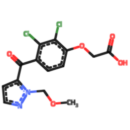 COCn1nccc1C(=O)c1ccc(OCC(=O)O)c(Cl)c1Cl